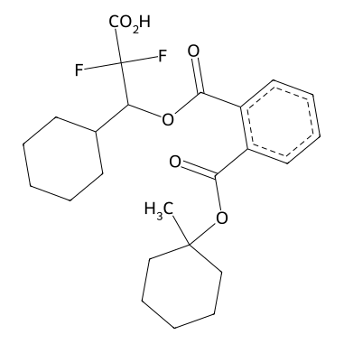 CC1(OC(=O)c2ccccc2C(=O)OC(C2CCCCC2)C(F)(F)C(=O)O)CCCCC1